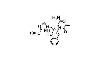 C=CC(=O)N(CC(N)=O)[C@@H](Cc1ccccc1)[C@@H](O)CN(NC(=O)OC(C)(C)C)C(C)C